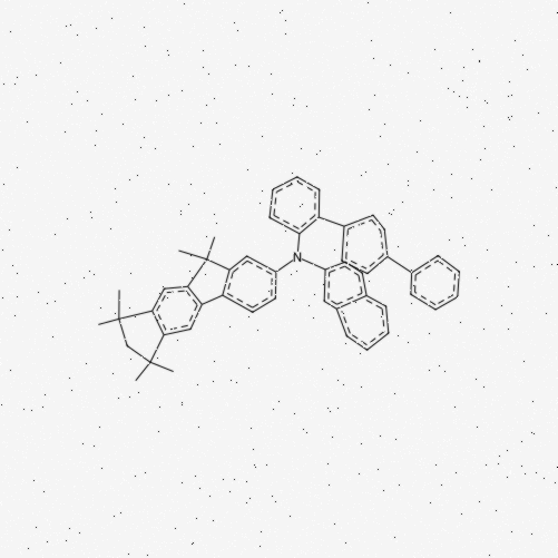 CC1(C)CC(C)(C)c2cc3c(cc21)-c1ccc(N(c2ccc4ccccc4c2)c2ccccc2-c2ccc(-c4ccccc4)cc2)cc1C3(C)C